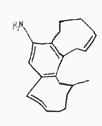 CC1CC=Cc2cc(N)c3c(c21)C=CCC3